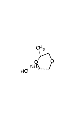 C[C@@H]1COCCO1.Cl.N